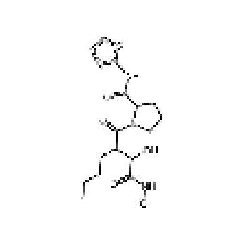 CCCCC(C(=O)N1CCCC1C(=O)Nc1nccs1)C(O)C(=O)NO